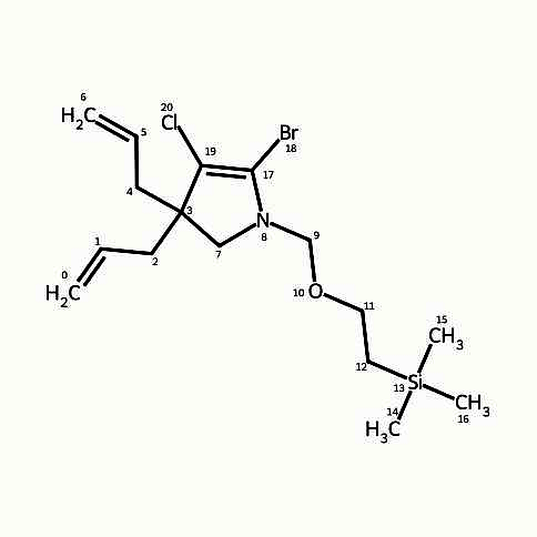 C=CCC1(CC=C)CN(COCC[Si](C)(C)C)C(Br)=C1Cl